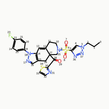 CCCn1cc(S(=O)(=O)N2CCC3=Cc4c(cnn4-c4ccc(F)cc4)CC3(C(=O)c3nccs3)C2)nn1